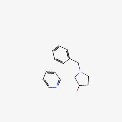 OC1CCN(Cc2ccccc2)C1.c1ccncc1